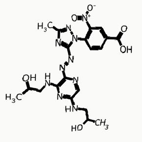 Cc1nc(N=Nc2ncc(NCC(C)O)nc2NCC(C)O)n(-c2ccc(C(=O)O)cc2[N+](=O)[O-])n1